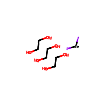 I[Te]I.OCCO.OCCO.OCCO